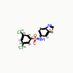 O=S(=O)(Nc1ccc2ncsc2c1)c1cc(Cl)cc(Cl)c1